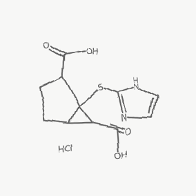 Cl.O=C(O)C1CCC2C(C(=O)O)C12Sc1ncc[nH]1